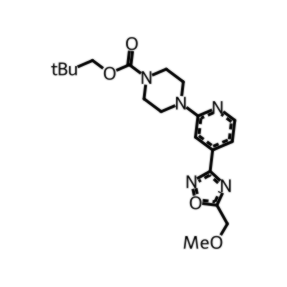 COCc1nc(-c2ccnc(N3CCN(C(=O)OCC(C)(C)C)CC3)c2)no1